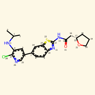 CC(C)Nc1cc(-c2ccc3nc(NC(=O)C[C@@H]4CCCO4)sc3c2)cnc1Cl